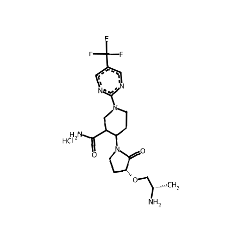 C[C@H](N)CO[C@@H]1CCN(C2CCN(c3ncc(C(F)(F)F)cn3)CC2C(N)=O)C1=O.Cl